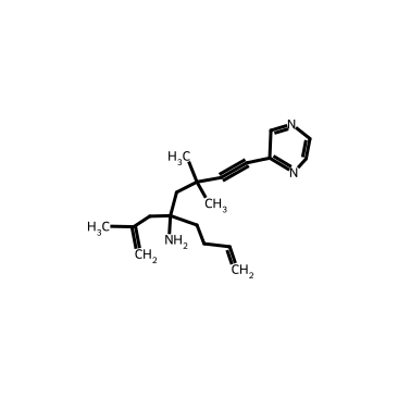 C=CCCC(N)(CC(=C)C)CC(C)(C)C#Cc1cnccn1